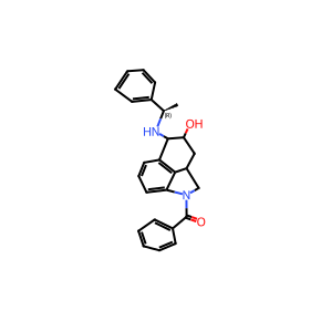 C[C@@H](NC1c2cccc3c2C(CC1O)CN3C(=O)c1ccccc1)c1ccccc1